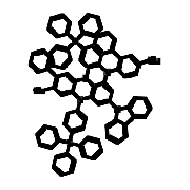 CC(C)(C)c1ccc(N2c3ccc([Si](c4ccccc4)(c4ccccc4)c4ccccc4)cc3B3c4cc(-c5ccccc5)c(C(C)(C)C)cc4N(c4ccc([Si](c5ccccc5)(c5ccccc5)c5ccccc5)cc4)c4cc(-n5c6ccccc6c6ccccc65)cc2c43)c(-c2ccccc2)c1